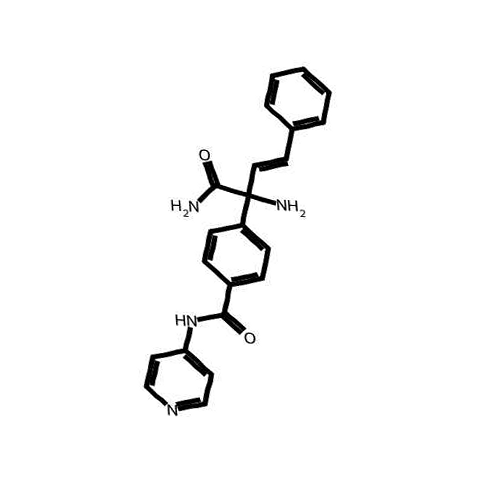 NC(=O)C(N)(C=Cc1ccccc1)c1ccc(C(=O)Nc2ccncc2)cc1